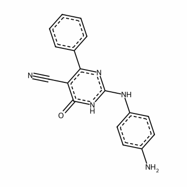 N#Cc1c(-c2ccccc2)nc(Nc2ccc(N)cc2)[nH]c1=O